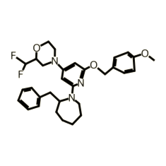 COc1ccc(COc2cc(N3CCOC(C(F)F)C3)cc(N3CCCCCC3Cc3ccccc3)n2)cc1